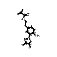 C=C(C)C(=O)OCCc1ccc(O)c(-n2nc(C)c(C)n2)c1